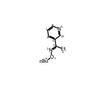 CCCCO/N=C(\CC)c1cccnc1